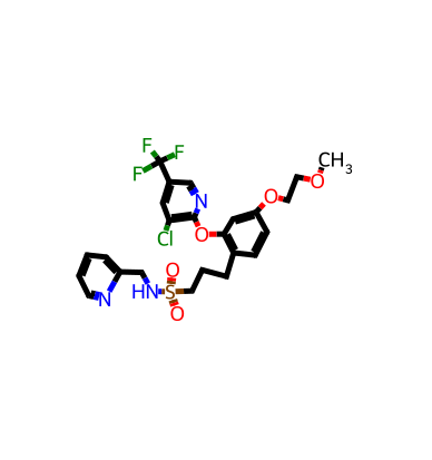 COCCOc1ccc(CCCS(=O)(=O)NCc2ccccn2)c(Oc2ncc(C(F)(F)F)cc2Cl)c1